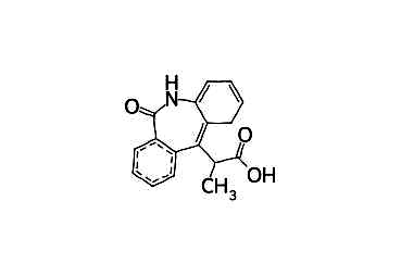 CC(C(=O)O)C1=C2CC=CC=C2NC(=O)c2ccccc21